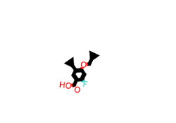 O=C(O)c1cc(C2CC2)c(OCC2CC2)cc1F